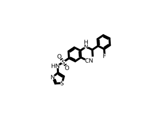 CC(Nc1ccc(S(=O)(=O)Nc2cscn2)cc1C#N)c1ccccc1F